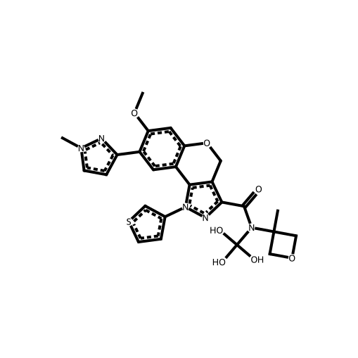 COc1cc2c(cc1-c1ccn(C)n1)-c1c(c(C(=O)N(C(O)(O)O)C3(C)COC3)nn1-c1ccsc1)CO2